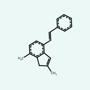 CC1=Cc2c(C=Cc3ccccc3)ccc(C)c2[CH]1